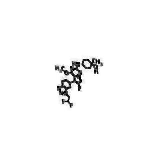 COc1nc(N[C@H]2CC[C@@](C)(O)CC2)nn2cc(F)c(-c3ccc4nnn(CC(F)F)c4c3)c12